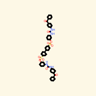 O=C(Nc1ccc(C(=O)c2ccccc2)cc1)Nc1cccc(OS(=O)(=O)c2ccc(-c3ccc(S(=O)(=O)Oc4cccc(NC(=O)Nc5ccc(C(=O)c6ccccc6)cc5)c4)cc3)cc2)c1